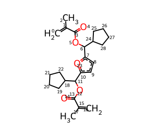 C=C(C)C(=O)OC(c1ccc(C(OC(=O)C(=C)C)C2CCCC2)o1)C1CCCC1